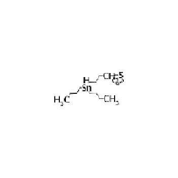 CCC[CH2][SnH]([CH2]CCC)[CH2]CCC.c1ccsc1